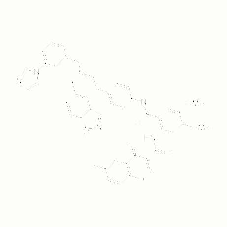 COc1cc(NC(=O)c2coc3ccc(C)cc3c2=O)c(C(=O)Nc2ccc(CCN(Cc3cccc(-n4ccnc4)c3)Cc3ccc4c(cnn4C)c3)cc2)cc1OC